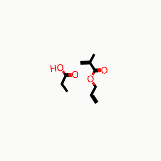 C=CCOC(=O)C(=C)C.CCC(=O)O